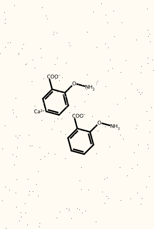 NOc1ccccc1C(=O)[O-].NOc1ccccc1C(=O)[O-].[Ca+2]